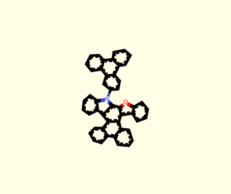 c1ccc2c(c1)oc1c2c2c3ccccc3c3ccccc3c2c2c3ccccc3n(-c3ccc4c5ccccc5c5ccccc5c4c3)c12